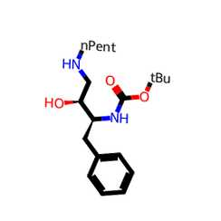 CCCCCNC[C@H](O)[C@H](Cc1ccccc1)NC(=O)OC(C)(C)C